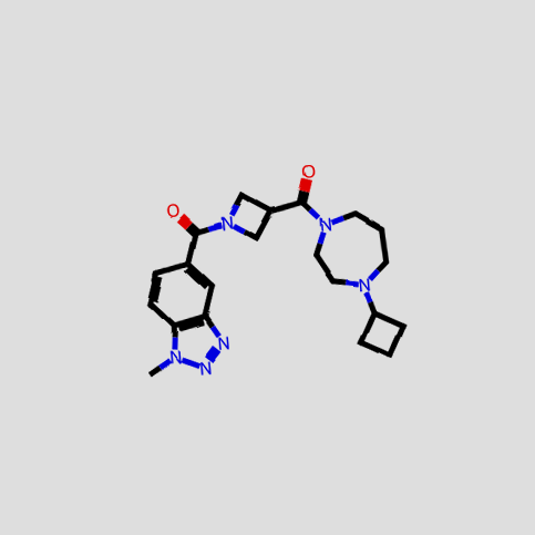 Cn1nnc2cc(C(=O)N3CC(C(=O)N4CCCN(C5CCC5)CC4)C3)ccc21